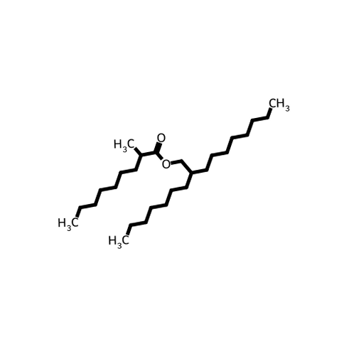 CCCCCCCCC(CCCCCCC)COC(=O)C(C)CCCCCCC